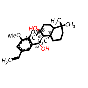 C=Cc1cc(OC)c(OC)c([C@@H](O)[C@@H]2[C@@]3(C)CCCC(C)(C)C3CC[C@@]2(C)O)c1